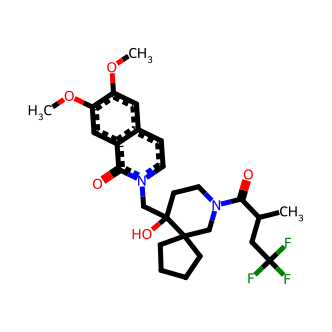 COc1cc2ccn(CC3(O)CCN(C(=O)C(C)CC(F)(F)F)CC34CCCC4)c(=O)c2cc1OC